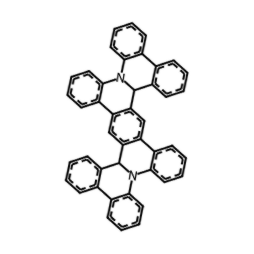 c1ccc2c(c1)-c1ccccc1N1c3ccccc3-c3cc4c(cc3C21)-c1ccccc1N1c2ccccc2-c2ccccc2C41